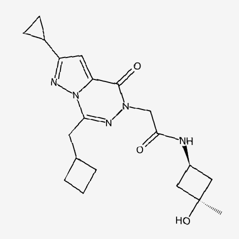 C[C@]1(O)C[C@@H](NC(=O)Cn2nc(CC3CCC3)n3nc(C4CC4)cc3c2=O)C1